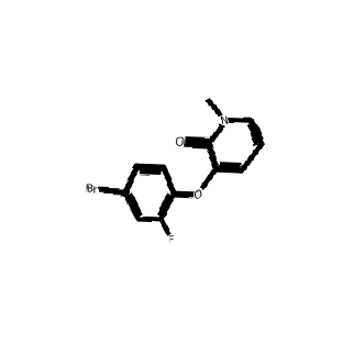 Cn1cccc(Oc2ccc(Br)cc2F)c1=O